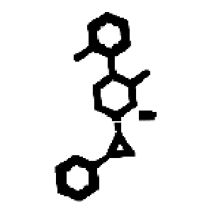 Br.Cc1ccccc1N1CCN([C@@H]2C[C@H]2c2ccccc2)CC1C